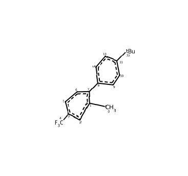 Cc1cc(C(F)(F)F)ccc1-c1ccc(C(C)(C)C)cc1